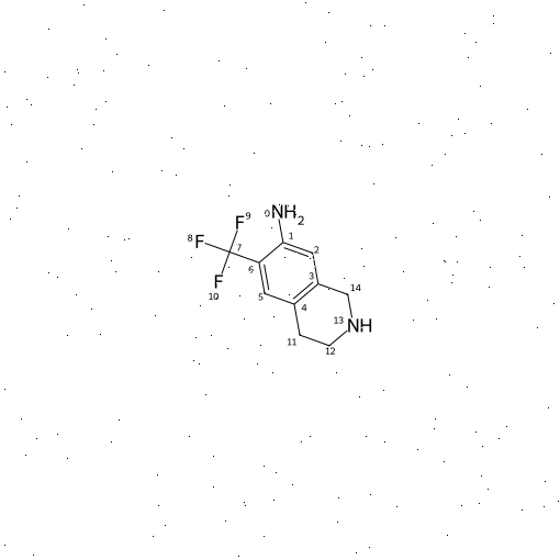 Nc1cc2c(cc1C(F)(F)F)CCNC2